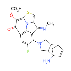 CN=c1c2c(N3CC4C5C=CC(N)(C5)C4C3)c(F)cc3c(=O)c(OC(=O)O)c4scc1n4c32